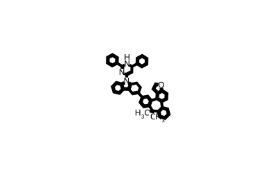 CC1(C)c2ccccc2-c2ccc3occc3c2-c2cc(C3=Cc4c(n(C5=CC(c6ccccc6)NC(c6ccccc6)=N5)c5ccccc45)CC3)ccc21